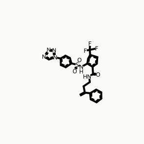 C=C(CCNC(=O)c1ccc(C(F)(F)F)cc1NS(=O)(=O)c1ccc(-n2cnnn2)cc1)c1ccccc1